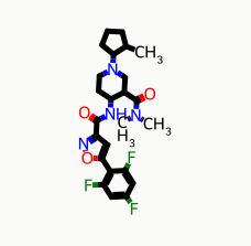 CC1CCCC1N1CCC(NC(=O)c2cc(-c3c(F)cc(F)cc3F)on2)C(C(=O)N(C)C)C1